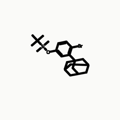 CC(C)(C)[Si](C)(C)Oc1ccc(Br)c(C23CC4CC(CC(C4)C2)C3)c1